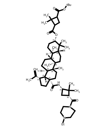 C=C(C)[C@H]1CC[C@]2(C(=O)N[C@H]3C[C@@H](C(=O)N4CCN(CC)CC4)C3(C)C)CC[C@]3(C)[C@H](CC[C@@H]4[C@@]5(C)CC[C@H](OC(=O)C6CC(C(=O)OC(C)(C)C)C6(C)C)C(C)(C)[C@@H]5CC[C@]43C)[C@@H]12